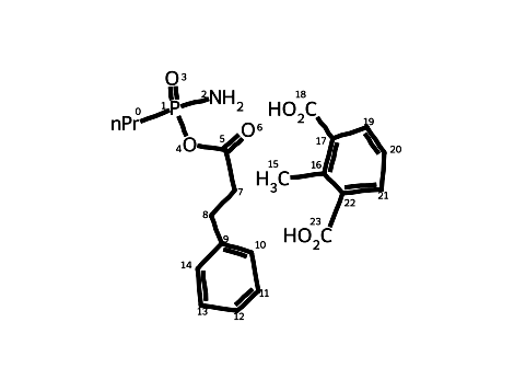 CCCP(N)(=O)OC(=O)CCc1ccccc1.Cc1c(C(=O)O)cccc1C(=O)O